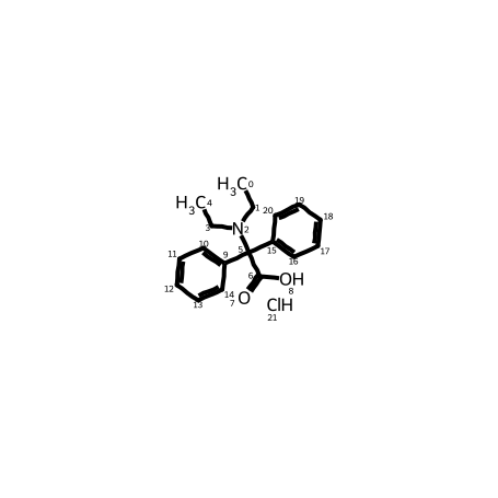 CCN(CC)C(C(=O)O)(c1ccccc1)c1ccccc1.Cl